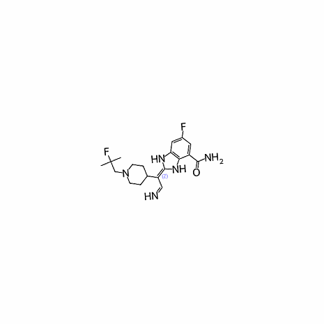 CC(C)(F)CN1CCC(/C(C=N)=C2\Nc3cc(F)cc(C(N)=O)c3N2)CC1